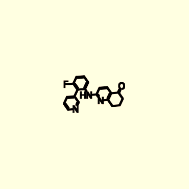 O=C1CCCc2nc(Nc3cccc(F)c3-c3cccnc3)ccc21